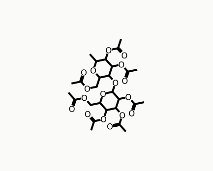 CC(=O)OCC1OC(C)C(OC(C)=O)C(OC(C)=O)C1OC1OC(COC(C)=O)C(OC(C)=O)C(OC(C)=O)C1OC(C)=O